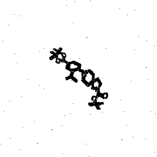 CC(C)c1cc(B2OC(C)(C)C(C)(C)O2)ccc1N1CCC2(CCN(C(=O)OC(C)(C)C)C2)CC1